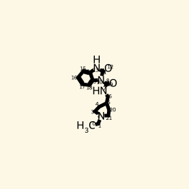 CCN1CCC(CNC(=O)n2c(=O)[nH]c3ccccc32)CC1